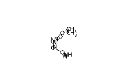 CN(C)CCOc1ccc2c(c1)CN(c1nccc(-c3cccc(C#Cc4ccc5[nH]ncc5c4)n3)n1)C2